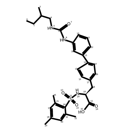 CCC(C)CNC(=O)Nc1cccc(-c2ccc(C[C@H](NS(=O)(=O)c3c(C)cc(C)cc3C)C(=O)O)cc2)c1